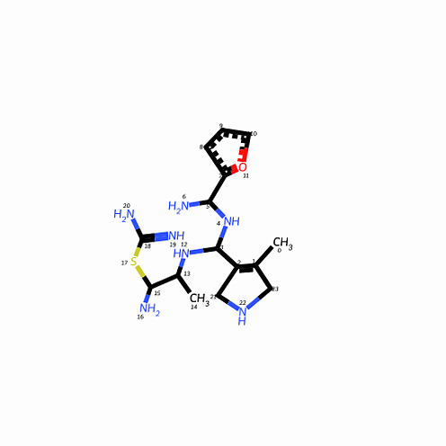 CC1=C(C(NC(N)c2ccco2)NC(C)C(N)SC(=N)N)CNC1